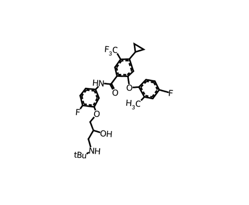 Cc1cc(F)ccc1Oc1cc(C2CC2)c(C(F)(F)F)cc1C(=O)Nc1ccc(F)c(OCC(O)CNC(C)(C)C)c1